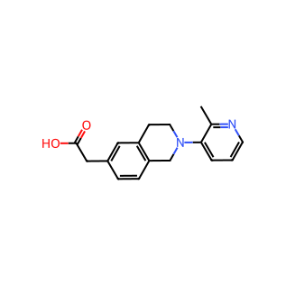 Cc1ncccc1N1CCc2cc(CC(=O)O)ccc2C1